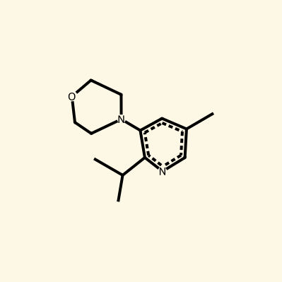 Cc1cnc(C(C)C)c(N2CCOCC2)c1